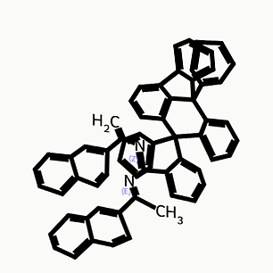 C=C(/N=C(\N=C(/C)c1ccc2ccccc2c1)c1ccccc1C1(c2ccccc2)c2ccccc2C2(c3ccccc3)c3ccccc3-c3cccc1c32)c1ccc2ccccc2c1